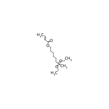 CC=CC(=O)OCCCCCC[Si](C)(OCC)OCC